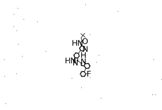 CC(C)(C)CC(=O)Nc1cncc(-c2ccc3[nH]nc(-c4cc5c(-c6ccccc6F)cccc5[nH]4)c3c2)c1